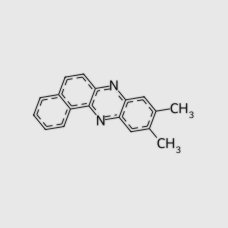 Cc1cc2nc3ccc4ccccc4c3nc2cc1C